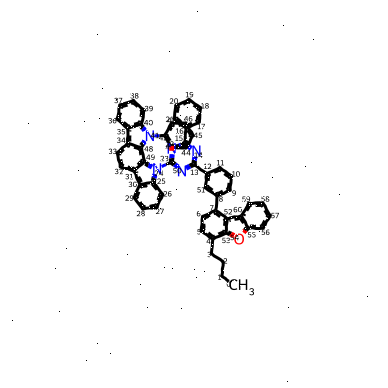 CCCCc1ccc(-c2cccc(-c3nc(-c4ccccc4)nc(-n4c5ccccc5c5ccc6c7ccccc7n(-c7ccccc7)c6c54)n3)c2)c2c1oc1ccccc12